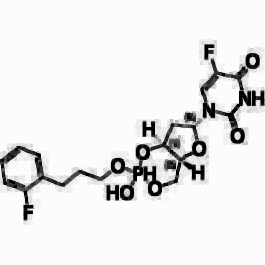 O=c1[nH]c(=O)n([C@H]2C[C@@H]3O[PH](O)(OCCCc4ccccc4F)OC[C@H]3O2)cc1F